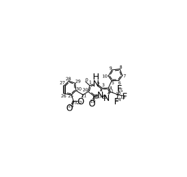 Cc1[nH]c2c(-c3ccccc3)c(C(F)(F)F)nn2c(=O)c1C1OC(=O)c2c#cccc21